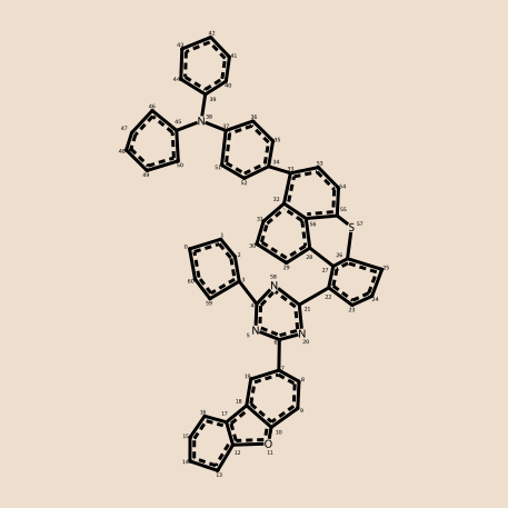 c1ccc(-c2nc(-c3ccc4oc5ccccc5c4c3)nc(-c3cccc4c3-c3cccc5c(-c6ccc(N(c7ccccc7)c7ccccc7)cc6)ccc(c35)S4)n2)cc1